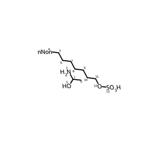 CC(N)O.CCCCCCCCCCCCCCCCOS(=O)(=O)O